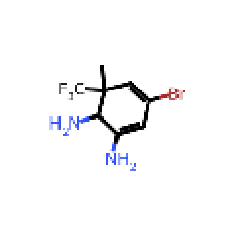 CC1(C(F)(F)F)C=C(Br)C=C(N)C1N